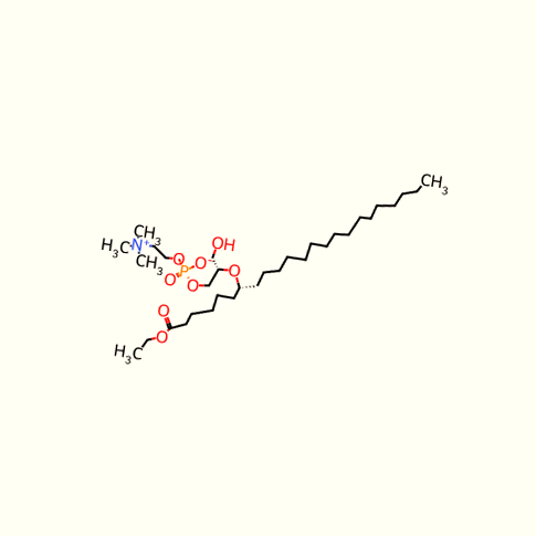 CCCCCCCCCCCCCCCC[C@H](CCCCCC(=O)OCC)O[C@@H](CO)COP(=O)([O-])OCC[N+](C)(C)C